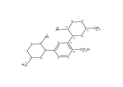 CC1CCC(C(C)C)C(c2ccc(C(=O)O)c(C3CC(C)CCC3C(C)C)c2)C1